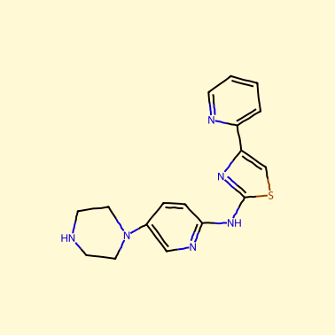 c1ccc(-c2csc(Nc3ccc(N4CCNCC4)cn3)n2)nc1